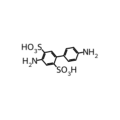 Nc1ccc(-c2cc(S(=O)(=O)O)c(N)cc2S(=O)(=O)O)cc1